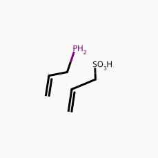 C=CCP.C=CCS(=O)(=O)O